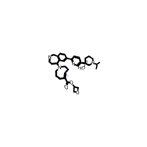 CC(C)N1CCC[C@](O)(c2ccc(-c3ccc4c(c3)C(N3CC/C=C(\C(=O)OC5COC5)CCC3)=CC=NC4)nc2)C1